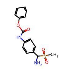 CS(=O)(=O)C(N)c1ccc(NC(=O)Oc2ccccc2)cc1